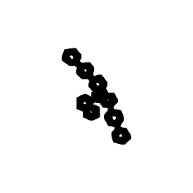 c1ccc(-c2ccc(-c3ccc4c5ccc(-c6ccc(-c7ccccc7)cc6)cc5n(-c5cccc6ccccc56)c4c3)cc2)cc1